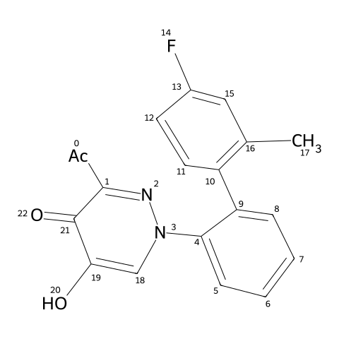 CC(=O)c1nn(-c2ccccc2-c2ccc(F)cc2C)cc(O)c1=O